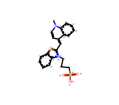 CN1C=C/C(=C\c2sc3ccccc3[n+]2CCCS(=O)(=O)O)c2ccccc21